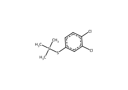 C[Si](C)(C)Sc1ccc(Cl)c(Cl)c1